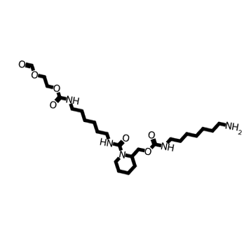 NCCCCCCCNC(=O)OCC1CCCCN1C(=O)NCCCCCCNC(=O)OCCOC=O